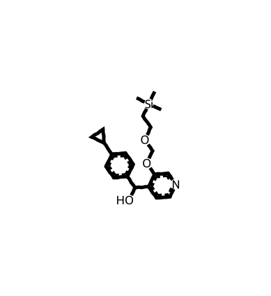 C[Si](C)(C)CCOCOc1cnccc1C(O)c1ccc(C2CC2)cc1